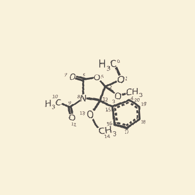 COC1(OC)OC(=O)N(C(C)=O)C1(OC)c1ccccc1